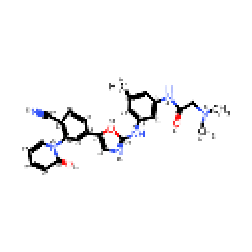 Cc1cc(NC(=O)CN(C)C)cc(Nc2ncc(-c3ccc(C#N)c(-n4ccccc4=O)c3)o2)c1